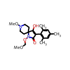 COCON1C(=O)C(c2c(C)cc(C)cc2C)=C(O)C12CCN(OC)CC2